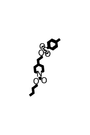 CCCCOC(=O)N1CCC(CCOS(=O)(=O)c2ccc(C)cc2)CC1